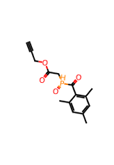 C#CCOC(=O)C[PH](=O)C(=O)c1c(C)cc(C)cc1C